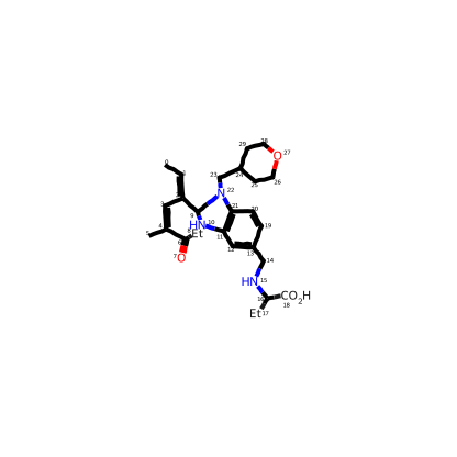 C/C=C(\C=C(\C)C(=O)CC)C1Nc2cc(CNC(CC)C(=O)O)ccc2N1CC1CCOCC1